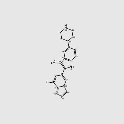 Cc1cc(-c2[nH]c3ccc(C4CCNCC4)cc3c2C(C)C)cn2cnnc12